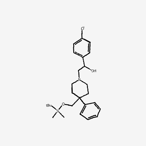 CC(C)(C)[Si](C)(C)OCC1(c2ccccc2)CCN(CC(O)c2ccc(Cl)cc2)CC1